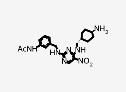 CC(=O)Nc1cccc(CNc2ncc([N+](=O)[O-])c(NC[C@H]3CC[C@H](N)CC3)n2)c1